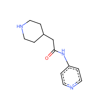 O=C(CC1CCNCC1)Nc1ccncc1